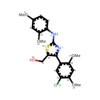 COc1ccc(Nc2nc(-c3cc(Cl)c(OC)cc3OC)c(CO)s2)c(OC)c1